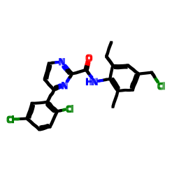 CCc1cc(CCl)cc(C)c1NC(=O)c1nccc(-c2cc(Cl)ccc2Cl)n1